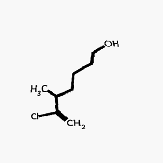 C=C(Cl)C(C)CCCCO